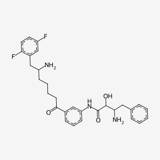 NC(CCCCC(=O)c1cccc(NC(=O)C(O)C(N)Cc2ccccc2)c1)Cc1cc(F)ccc1F